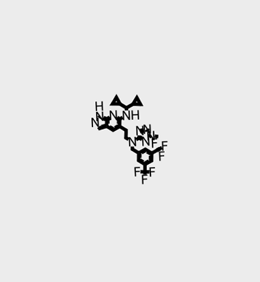 Cn1nnc(N(CCc2cc3cn[nH]c3nc2NC(C2CC2)C2CC2)Cc2cc(C(F)(F)F)cc(C(F)(F)F)c2)n1